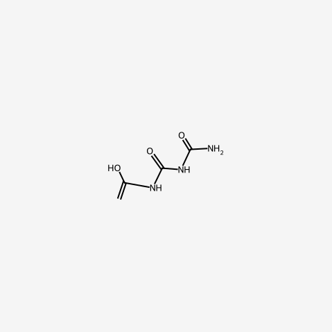 C=C(O)NC(=O)NC(N)=O